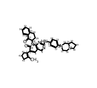 CC1=C(c2cc3cnc(Nc4ccc(N5CCN6CCCC6C5)cc4)nc3n(C3CCc4ccccc4C3=O)c2=O)CCC1